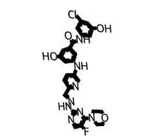 O=C(Nc1cc(O)cc(Cl)c1)c1cc(O)cc(Nc2ccc(/C=N/Nc3ncc(F)c(N4CCOCC4)n3)nc2)c1